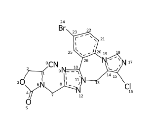 N#CC1COC(=O)N1Cc1nc2n(n1)Cc1c(Cl)ncn1-c1ccc(Br)cc1-2